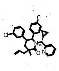 C=CCC1(C)CC(c2cccc(Cl)c2)C(c2ccc(Cl)cc2)N([C@H](c2ccccn2)C2CC2)C1=O